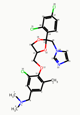 Cc1cc(CN(C)C)cc(Cl)c1OCC1COC(Cn2ccnc2)(c2ccc(Cl)cc2Cl)O1